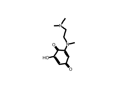 CN(C)CCN(C)C1=CC(=O)C=C(O)C1=O